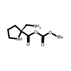 CC(C)(C)OC(=O)OC(=O)[C@@]1(CN)CCCN1